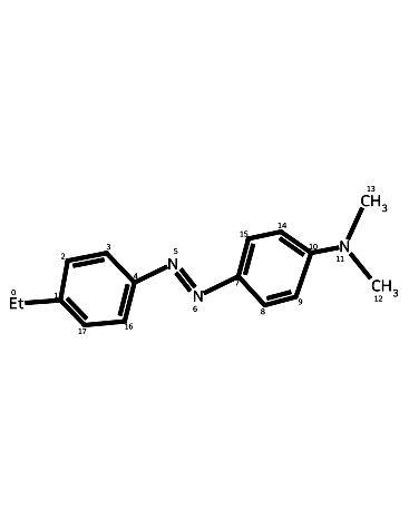 CCc1ccc(N=Nc2ccc(N(C)C)cc2)cc1